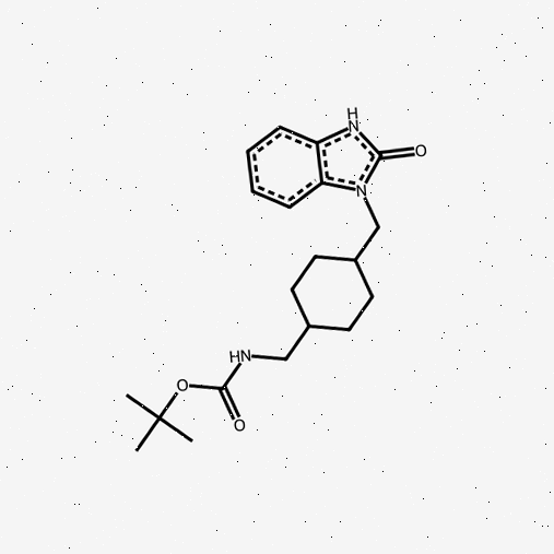 CC(C)(C)OC(=O)NCC1CCC(Cn2c(=O)[nH]c3ccccc32)CC1